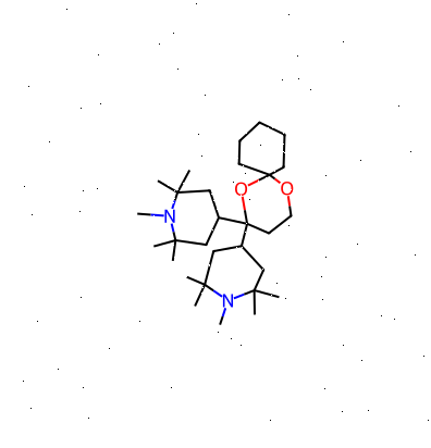 CN1C(C)(C)CC(C2(C3CC(C)(C)N(C)C(C)(C)C3)CCOC3(CCCCC3)O2)CC1(C)C